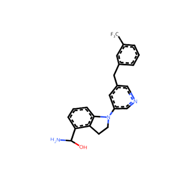 NC(O)c1cccc2c1CCN2c1cncc(Cc2cccc(C(F)(F)F)c2)c1